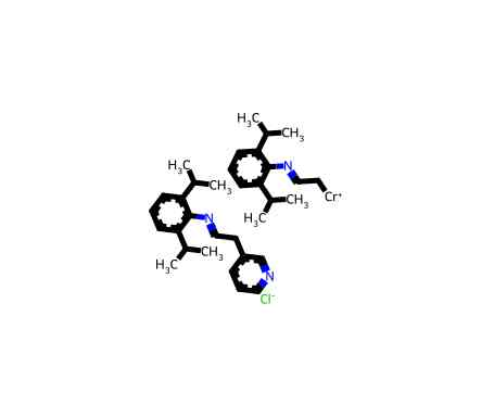 CC(C)c1cccc(C(C)C)c1N=CCc1cccnc1.CC(C)c1cccc(C(C)C)c1N=C[CH2][Cr+].[Cl-]